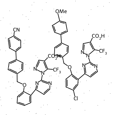 COc1ccc(-c2ccc(COc3ccc(Cl)cc3-c3ccnc(-n4ncc(C(=O)O)c4C(F)(F)F)n3)cc2)cc1.N#Cc1ccc(-c2ccc(COc3ccccc3-c3ccnc(-n4ncc(C(=O)O)c4C(F)(F)F)n3)cc2)cc1